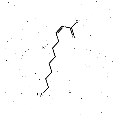 CCCCCCCC/C=C\C(=O)[O-].[K+]